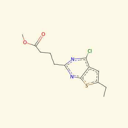 CCc1cc2c(Cl)nc(CCCC(=O)OC)nc2s1